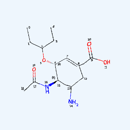 CCC(CC)O[C@@H]1C=C(C(=O)O)CC(N)[C@H]1NC(C)=O